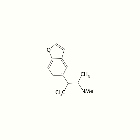 CNC(C)C(c1ccc2occc2c1)C(Cl)(Cl)Cl